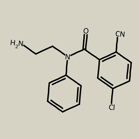 N#Cc1ccc(Cl)cc1C(=O)N(CCN)c1ccccc1